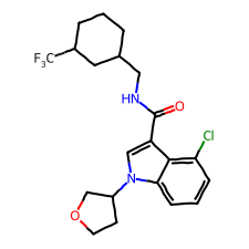 O=C(NCC1CCCC(C(F)(F)F)C1)c1cn(C2CCOC2)c2cccc(Cl)c12